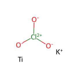 [K+].[O-][Cl+2]([O-])[O-].[Ti]